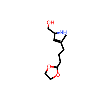 OCC1C=C(CCCC2OCCO2)CN1